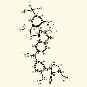 COc1ncc(N(C)c2ccc3nc(C)nc(N[C@H](C)c4cc(N)cc(C(F)(F)F)c4)c3c2)cc1N1CCN(C)C1=O